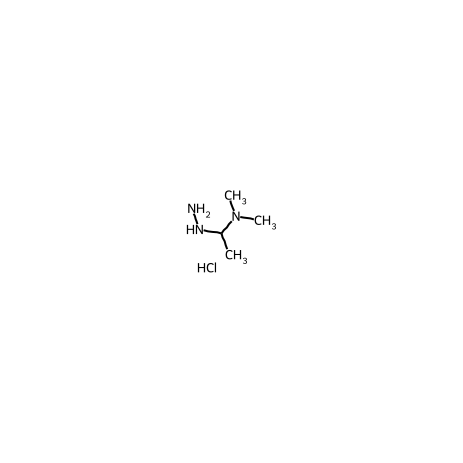 CC(NN)N(C)C.Cl